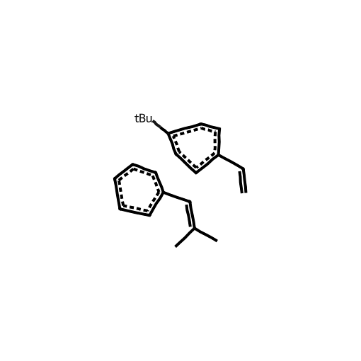 C=Cc1ccc(C(C)(C)C)cc1.CC(C)=Cc1ccccc1